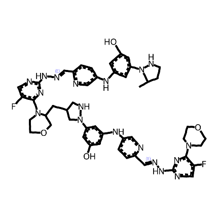 CC1CCNN1c1cc(O)cc(Nc2ccc(/C=N/Nc3ncc(F)c(N4CCOCC4CC4CNN(c5cc(O)cc(Nc6ccc(/C=N/Nc7ncc(F)c(N8CCOCC8)n7)nc6)c5)C4)n3)nc2)c1